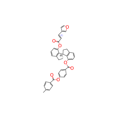 Cc1ccc(C(=O)Oc2ccc(C(=O)Oc3cccc4c3[C@]3(CCc5cccc(OC(=O)/C=C/c6ccoc6)c53)CC4)cc2)cc1